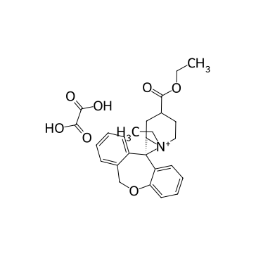 CCOC(=O)C1CC[N+]2(CC)C(C1)[C@]21c2ccccc2COc2ccccc21.O=C(O)C(=O)O